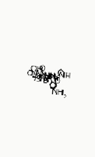 CC1(C)S[C@@H]2[C@H](NC(=O)C(NC(=O)[C@@H]3CCCN3)c3ccc(N)cc3)C(=O)N2[C@H]1C(=O)O